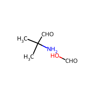 CC(C)(N)C=O.O=CO